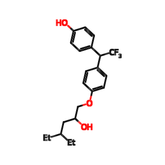 CCC(CC)CC(O)COc1ccc(C(c2ccc(O)cc2)C(F)(F)F)cc1